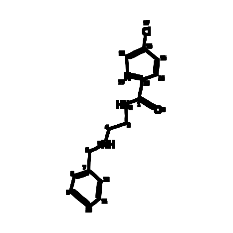 O=C(NCCNCc1ccccc1)c1ccc(Cl)cn1